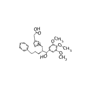 COc1cc([C@@H](O)[C@@H](CCCc2ccccc2)Cn2ccc(CC(=O)O)c2)cc(OC)c1OC